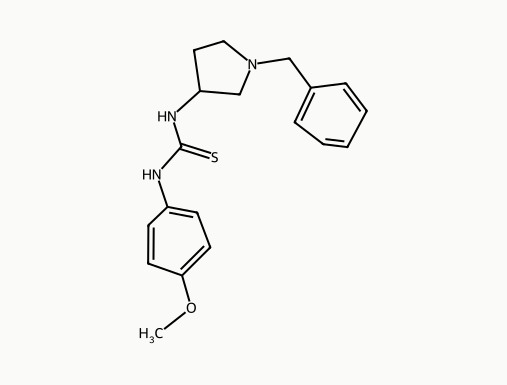 COc1ccc(NC(=S)NC2CCN(Cc3ccccc3)C2)cc1